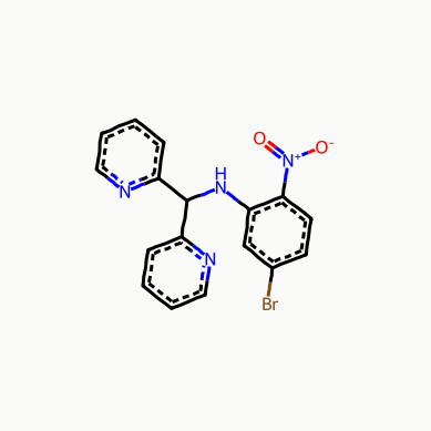 O=[N+]([O-])c1ccc(Br)cc1NC(c1ccccn1)c1ccccn1